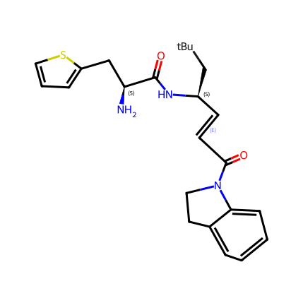 CC(C)(C)C[C@@H](/C=C/C(=O)N1CCc2ccccc21)NC(=O)[C@@H](N)Cc1cccs1